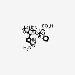 C[C@H](NP(=O)(OC[C@@]1(C#N)O[C@@H](c2ccc3c(N)ncnn23)[C@@H]2OC(C)(C)O[C@@H]21)Oc1ccccc1)C(=O)O